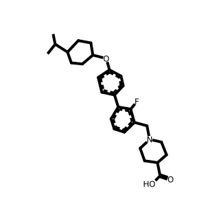 CC(C)C1CCC(Oc2ccc(-c3cccc(CN4CCC(C(=O)O)CC4)c3F)cc2)CC1